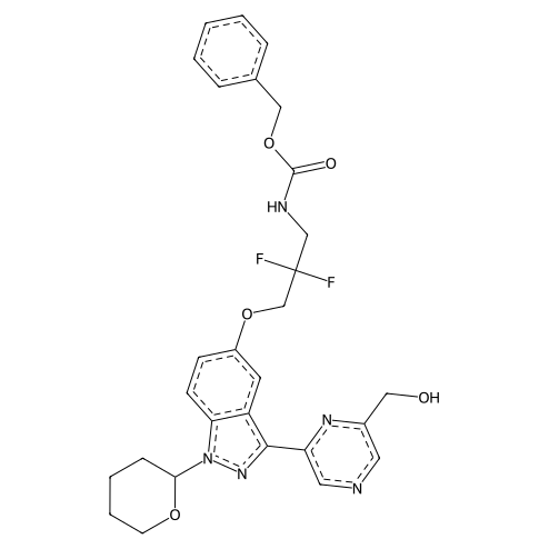 O=C(NCC(F)(F)COc1ccc2c(c1)c(-c1cncc(CO)n1)nn2C1CCCCO1)OCc1ccccc1